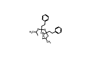 CC(I)OC(C)(CCc1ccccc1)OC(C)(CCc1ccccc1)OC(C)I